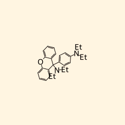 CCN(CC)c1ccc(C2(N(CC)CC)c3ccccc3Oc3ccccc32)cc1